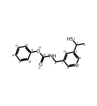 CC(S)c1cncc(CNC(=O)Oc2ccccc2)c1